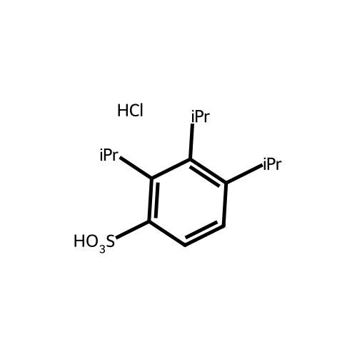 CC(C)c1ccc(S(=O)(=O)O)c(C(C)C)c1C(C)C.Cl